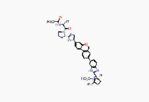 COC(=O)N[C@H](C(=O)N1CCC[C@H]1c1ncc(-c2ccc3c(c2)OCc2cc(-c4ccc5nc(C6[C@H]7CCC(C(C)(C)C)(C7)N6C(=O)O)[nH]c5c4)ccc2-3)[nH]1)C(C)C